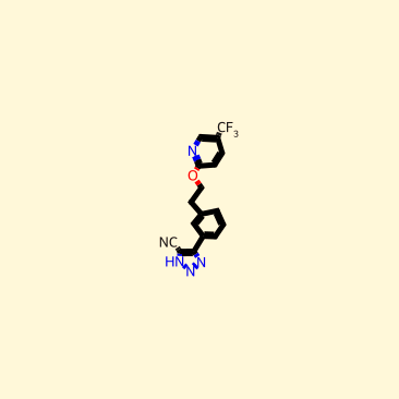 N#Cc1[nH]nnc1-c1cccc(CCOc2ccc(C(F)(F)F)cn2)c1